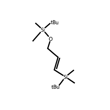 CC(C)(C)[Si](C)(C)C=CCO[Si](C)(C)C(C)(C)C